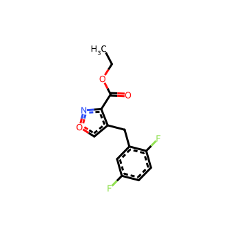 CCOC(=O)c1nocc1Cc1cc(F)ccc1F